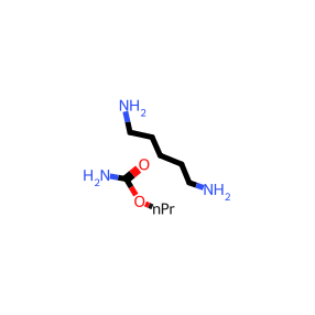 CCCOC(N)=O.NCCCCCN